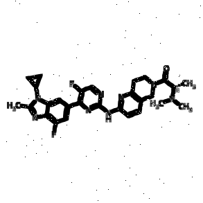 Cc1nc2c(F)cc(-c3nc(Nc4ccc5c(n4)CCN(C(=O)[C@H](C)N(C)C)C5)ncc3F)cc2n1C1CC1